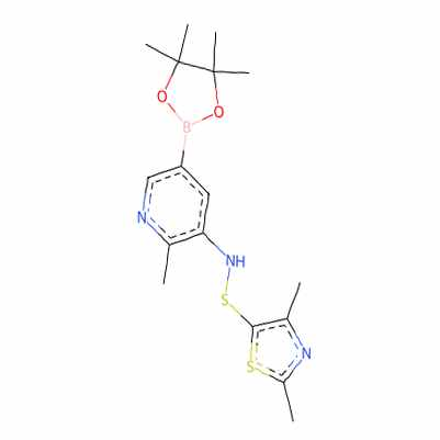 Cc1nc(C)c(SNc2cc(B3OC(C)(C)C(C)(C)O3)cnc2C)s1